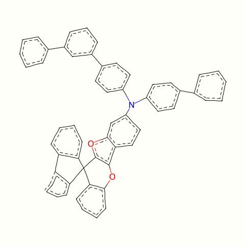 c1ccc(-c2ccc(N(c3ccc(-c4cccc(-c5ccccc5)c4)cc3)c3ccc4c5c(oc4c3)C3(c4ccccc4O5)c4ccccc4-c4ccccc43)cc2)cc1